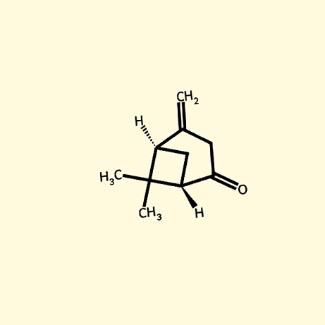 C=C1CC(=O)[C@H]2C[C@H]1C2(C)C